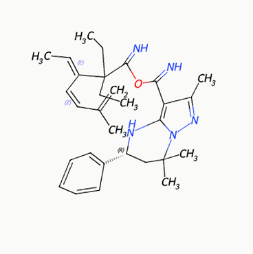 C=C(C)/C=C\C(=C/C)C(CC)(CC)C(=N)OC(=N)c1c(C)nn2c1N[C@@H](c1ccccc1)CC2(C)C